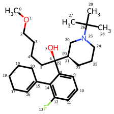 COCCCC[C@@](O)(c1cccc(F)c1C1=CCCCC1)[C@@H]1CCCN(C(C)(C)C)C1